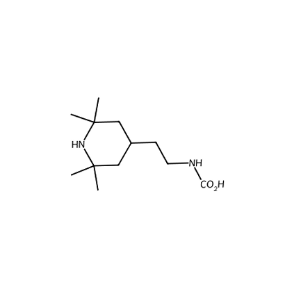 CC1(C)CC(CCNC(=O)O)CC(C)(C)N1